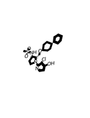 CS(=O)(=O)N[C@H]1CCN(c2nccc(O)c2Cl)[C@H]1CO[C@H]1CC[C@@H](c2ccccc2)CC1